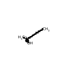 CCCCCCCCCCCCCCCCc1cc(O)ccc1OCC